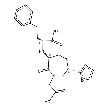 O=C(O)CN1C[C@@H](c2cccs2)SC[C@H](N[C@@H](CCc2ccccc2)C(=O)O)C1=O